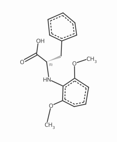 COc1cccc(OC)c1N[C@@H](Cc1ccccc1)C(=O)O